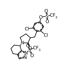 O=C1C(Cc2c(Cl)cc(OS(=O)(=O)C(F)(F)F)cc2Cl)CCN1[C@@H]1CCCc2cnn(S(=O)(=O)C(F)(F)F)c21